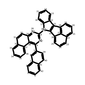 c1ccc2cc(-c3nc(-n4c5c(c6ccccc64)-c4cccc6cccc-5c46)nc4ccc5ccccc5c34)ccc2c1